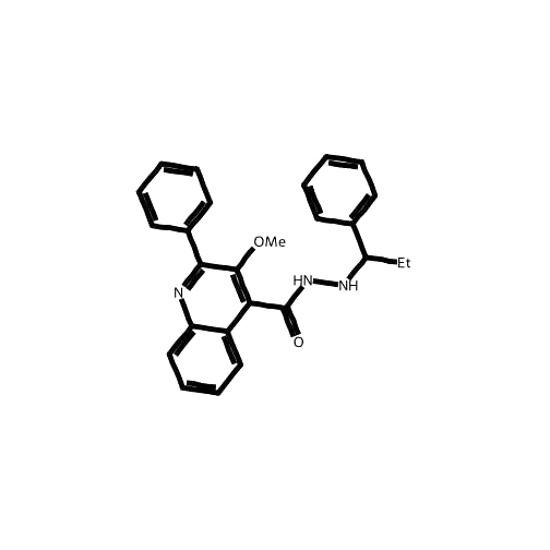 CCC(NNC(=O)c1c(OC)c(-c2ccccc2)nc2ccccc12)c1ccccc1